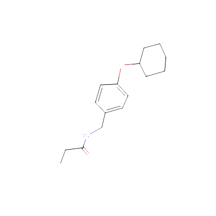 CCC(=O)NCc1ccc(OC2CCCCC2)cc1